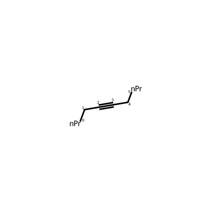 [CH2]CCCC#CCCC[CH2]